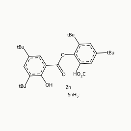 CC(C)(C)c1cc(C(=O)Oc2c(C(=O)O)cc(C(C)(C)C)cc2C(C)(C)C)c(O)c(C(C)(C)C)c1.[SnH2].[Zn]